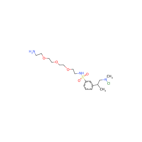 CC(CN(C)Cl)c1cccc(S(=O)(=O)NCCOCCOCCOCCN)c1